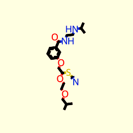 CC(C)COCCOC(COc1cccc(C(=O)NCCNC(C)C)c1)SC#N